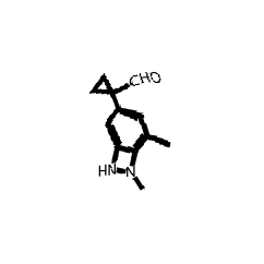 Cc1cc(C2(C=O)CC2)cc2[nH]n(C)c12